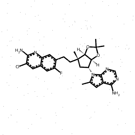 Cc1cc2c(N)ncnc2n1[C@@H]1C[C@](C)(CCc2cc3nc(N)c(Cl)cc3cc2F)[C@H]2OC(C)(C)O[C@@H]12